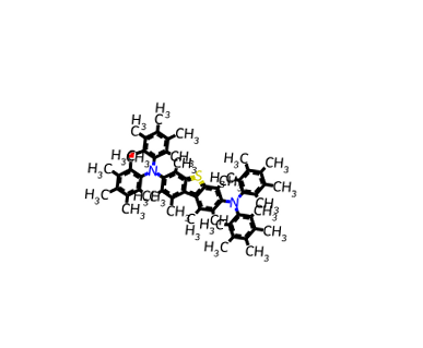 Cc1c(C)c(C)c(N(c2c(C)c(C)c(C)c(C)c2C)c2c(C)c(C)c3c(sc4c(C)c(N(c5c(C)c(C)c(C)c(C)c5C)c5c(C)c(C)c(C)c(C)c5C)c(C)c(C)c43)c2C)c(C)c1C